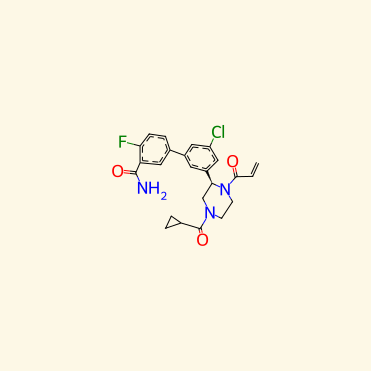 C=CC(=O)N1CCN(C(=O)C2CC2)C[C@H]1c1cc(Cl)cc(-c2ccc(F)c(C(N)=O)c2)c1